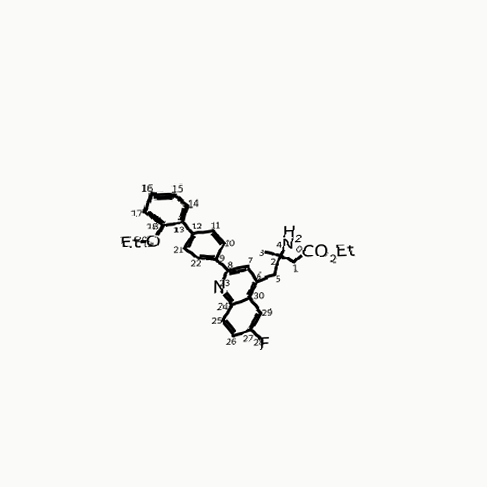 CCOC(=O)CC(C)(N)Cc1cc(-c2ccc(-c3ccccc3OCC)cc2)nc2ccc(F)cc12